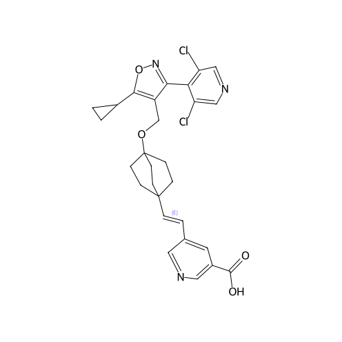 O=C(O)c1cncc(/C=C/C23CCC(OCc4c(-c5c(Cl)cncc5Cl)noc4C4CC4)(CC2)CC3)c1